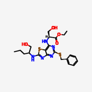 CCCC(CO)Nc1nc2nc(SCc3ccccc3)nc(N[C@@H](CO)C(=O)OCC)c2s1